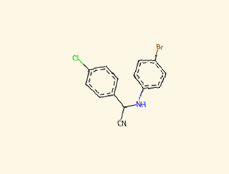 N#CC(Nc1ccc(Br)cc1)c1ccc(Cl)cc1